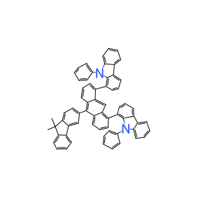 CC1(C)c2ccccc2-c2cc(-c3c4cccc(-c5cccc6c7ccccc7n(-c7ccccc7)c56)c4cc4c(-c5cccc6c7ccccc7n(-c7ccccc7)c56)cccc34)ccc21